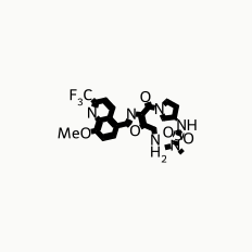 COc1ccc(-c2nc(C(=O)N3CC[C@@H](NS(=O)(=O)N(C)C)C3)c(CN)o2)c2ccc(C(F)(F)F)nc12